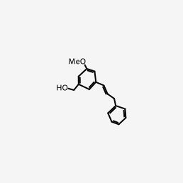 COc1cc(/C=C/Cc2ccccc2)cc(CO)c1